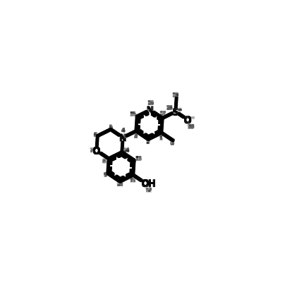 Cc1cc(N2CCOc3ccc(O)cc32)cnc1[S+](C)[O-]